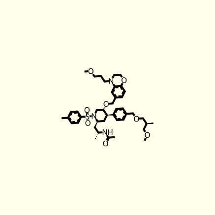 COCCCN1CCOc2ccc(CO[C@H]3CN(S(=O)(=O)c4ccc(C)cc4)[C@H](C[C@@H](C)NC(C)=O)C[C@@H]3c3ccc(COC[C@@H](C)COC)cc3)cc21